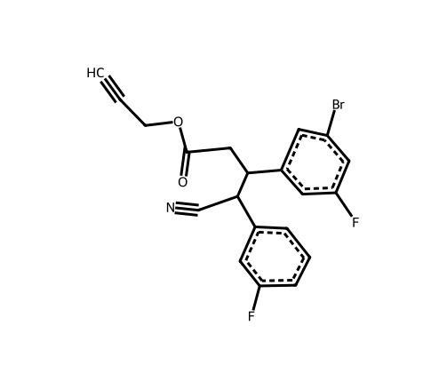 C#CCOC(=O)CC(c1cc(F)cc(Br)c1)C(C#N)c1cccc(F)c1